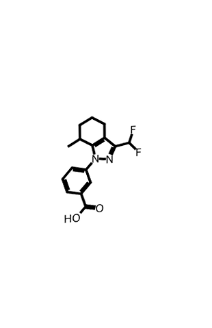 CC1CCCc2c(C(F)F)nn(-c3cccc(C(=O)O)c3)c21